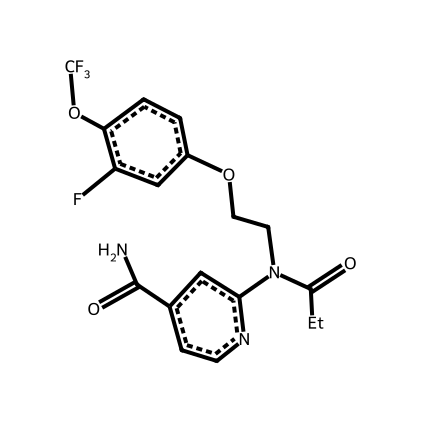 CCC(=O)N(CCOc1ccc(OC(F)(F)F)c(F)c1)c1cc(C(N)=O)ccn1